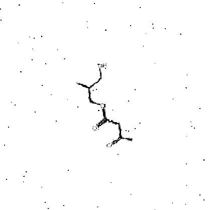 CC(=O)CC(=O)OCC(C)C[TeH]